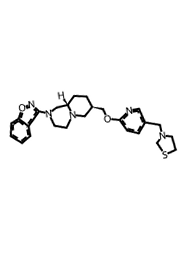 c1ccc2c(N3CCN4C[C@H](COc5ccc(CN6CCSC6)cn5)CC[C@H]4C3)noc2c1